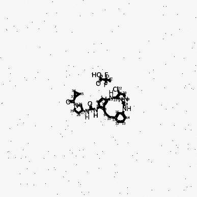 O=C(Nc1ccc2cc1CCc1cccc(c1)Nc1ncc(Cl)c(n1)N2)N[C@H]1CCN(C(=O)C2CC2)C1.O=C(O)C(F)(F)F